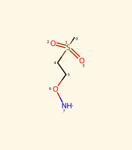 CS(=O)(=O)CCO[NH]